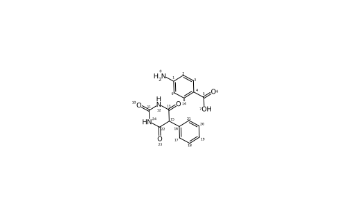 Nc1ccc(C(=O)O)cc1.O=C1NC(=O)C(c2ccccc2)C(=O)N1